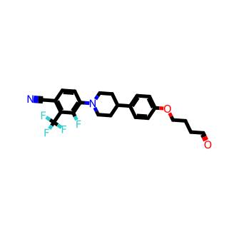 N#Cc1ccc(N2CCC(c3ccc(OCCCC=O)cc3)CC2)c(F)c1C(F)(F)F